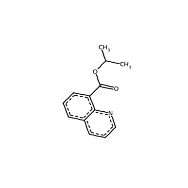 CC(C)OC(=O)c1cccc2cccnc12